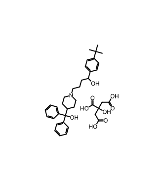 CC(C)(C)c1ccc(C(O)CCCN2CCC(C(O)(c3ccccc3)c3ccccc3)CC2)cc1.O=C(O)CC(O)(CC(=O)O)C(=O)O